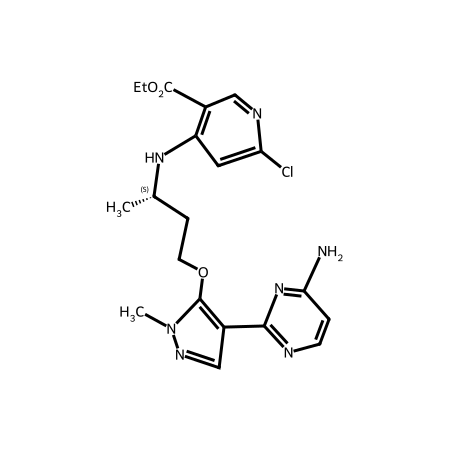 CCOC(=O)c1cnc(Cl)cc1N[C@@H](C)CCOc1c(-c2nccc(N)n2)cnn1C